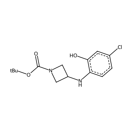 CC(C)(C)OC(=O)N1CC(Nc2ccc(Cl)cc2O)C1